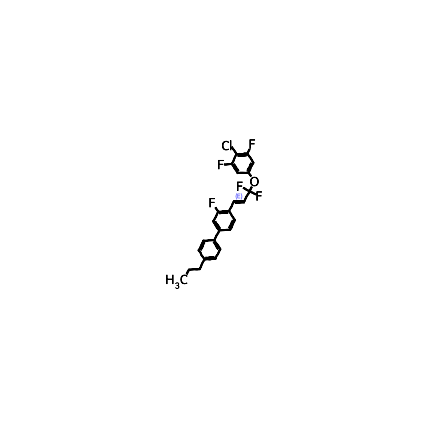 CCCc1ccc(-c2ccc(/C=C/C(F)(F)Oc3cc(F)c(Cl)c(F)c3)c(F)c2)cc1